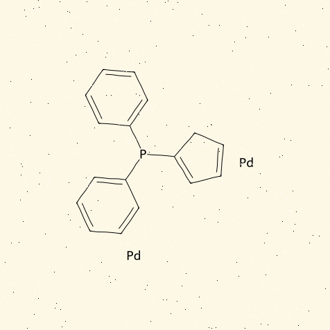 C1=CCC(P(c2ccccc2)c2ccccc2)=C1.[Pd].[Pd]